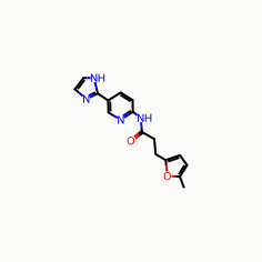 Cc1ccc(CCC(=O)Nc2ccc(-c3ncc[nH]3)cn2)o1